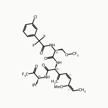 C=C(/C=C\C(=C/C)OC)[C@H](NC(=O)[C@H](COC(F)(F)F)NC(=O)C(F)(F)c1cccc(Cl)c1)C(=O)N[C@H](C(=O)C(F)(F)F)C(C)C